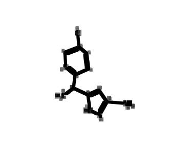 CC(c1ccc(Cl)cn1)c1cc(N)n[nH]1